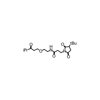 CC(C)C(=O)CCOCCNC(=O)CCN1C(=O)CC(C(C)(C)C)C1=O